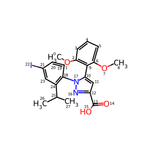 COc1cccc(OC)c1-c1cc(C(=O)O)nn1-c1ccc(I)cc1C(C)C